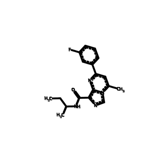 CCC(C)NC(=O)c1ncn2c(C)cc(-c3cccc(F)c3)nc12